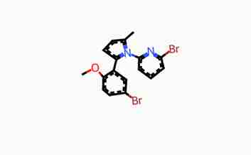 COc1ccc(Br)cc1-c1ccc(C)n1-c1cccc(Br)n1